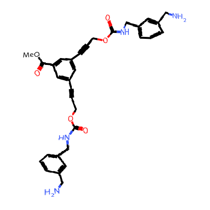 COC(=O)c1cc(C#CCOC(=O)NCc2cccc(CN)c2)cc(C#CCOC(=O)NCc2cccc(CN)c2)c1